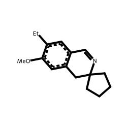 CCc1cc2c(cc1OC)CC1(CCCC1)N=C2